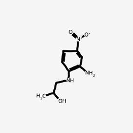 CC(O)CNc1ccc([N+](=O)[O-])cc1N